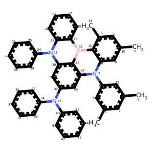 Cc1cc(C)cc(N2c3cc(C)cc(C)c3B3c4ccccc4N(c4ccccc4)c4cc(N(c5ccccc5)c5ccccc5)cc2c43)c1